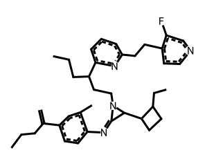 C=C(CCC)c1ccc(/N=C2/C(C3CCC3CC)N2CCC(CCC)c2cccc(CCc3ccncc3F)n2)c(C)c1